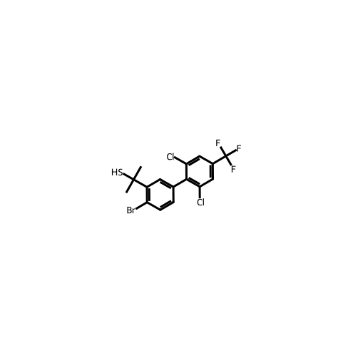 CC(C)(S)c1cc(-c2c(Cl)cc(C(F)(F)F)cc2Cl)ccc1Br